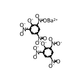 O=[N+]([O-])c1cc([N+](=O)[O-])c([O-])c([N+](=O)[O-])c1.O=[N+]([O-])c1cc([N+](=O)[O-])c([O-])c([N+](=O)[O-])c1.[Ba+2]